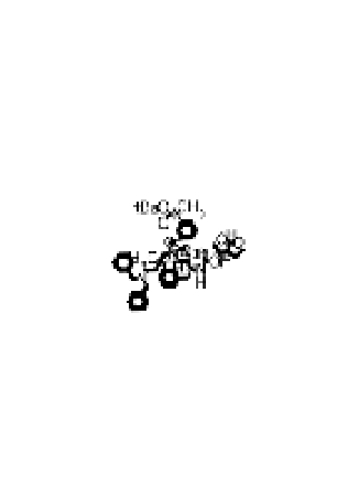 CN(C(=O)OC(C)(C)C)c1cccc(S(=O)(=O)N(C[C@@H](O)[C@H](Cc2ccccc2)NC(=O)O[C@H]2CO[C@H]3OCC[C@H]32)CC(C)(C)CCN(Cc2ccccc2)Cc2ccccc2)c1